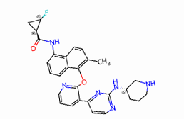 Cc1ccc2c(NC(=O)[C@H]3C[C@H]3F)cccc2c1Oc1ncccc1-c1ccnc(N[C@H]2CCCNC2)n1